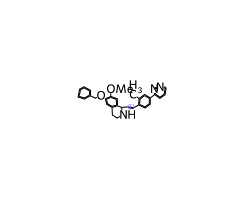 COc1cc2c(cc1OCc1ccccc1)CCNC2/C=C/c1ccc(-c2cccnn2)cc1C